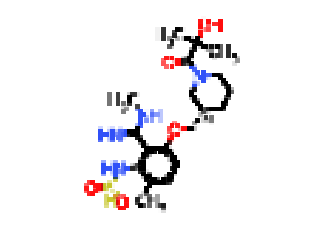 CNC(=N)c1c(OC[C@H]2CCCN(C(=O)C(C)(C)O)C2)ccc(C)c1N[SH](=O)=O